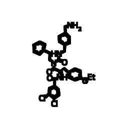 CCOc1ccc(C[C@@H](NC(=O)c2ccc(Cl)c(Cl)c2)C(=O)N(CCc2ccccc2)C(=O)NCc2ccc(CN)cc2)cc1